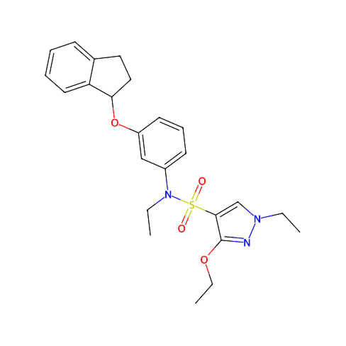 CCOc1nn(CC)cc1S(=O)(=O)N(CC)c1cccc(OC2CCc3ccccc32)c1